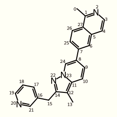 Cc1nccc2cc(-c3ccc4c(C)c(Cc5cccnc5)nn4c3)ccc12